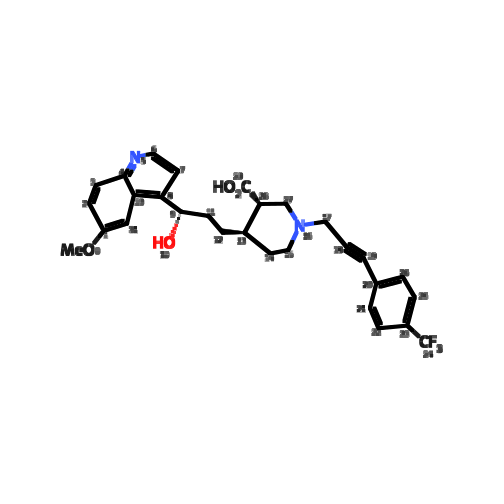 COc1ccc2nccc([C@@H](O)CC[C@@H]3CCN(CC#Cc4ccc(C(F)(F)F)cc4)C[C@@H]3C(=O)O)c2c1